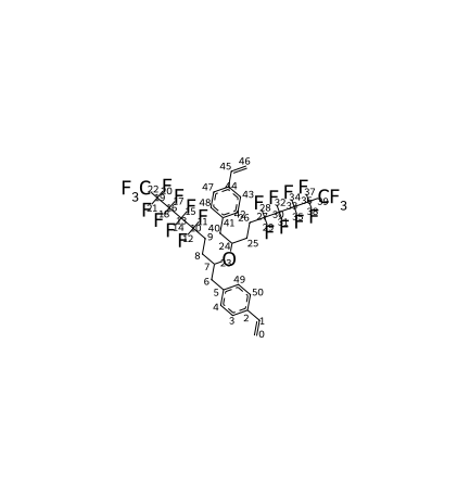 C=Cc1ccc(CC(CCC(F)(F)C(F)(F)C(F)(F)C(F)(F)C(F)(F)F)OC(CCC(F)(F)C(F)(F)C(F)(F)C(F)(F)C(F)(F)F)Cc2ccc(C=C)cc2)cc1